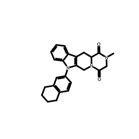 CN1CC(=O)N2Cc3c(c4ccccc4n3-c3ccc4c(c3)CCCC4)CC2C1=O